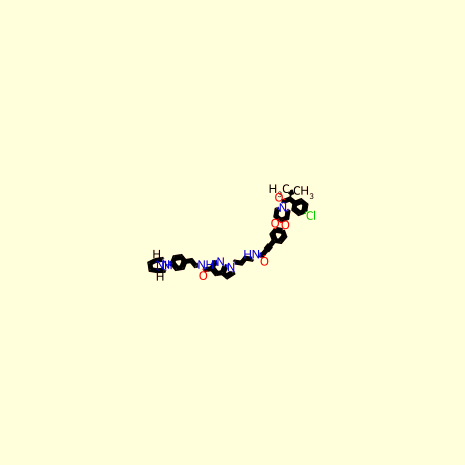 CC(C)[C@H](C(=O)N1CCC2(CC1)Oc1ccc(C#CC(=O)NCCCCn3ccc4cc(C(=O)NCCc5ccc(N6C[C@H]7CC[C@@H](C6)N7)cc5)cnc43)cc1O2)c1ccc(Cl)cc1